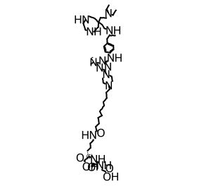 CCN(CC)CCC1(CCNC(C)Cc2ccc(Nc3nc(N(C)C)nc(N4CCN(CCCCCCCCCCC(=O)NCCCC[C@H](NC(=O)NCC(=O)O)C(=O)O)CC4)n3)cc2)CCNCCNCC1